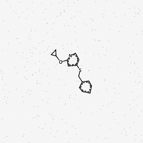 c1ccc(CSc2ccnc(OC3CC3)c2)cc1